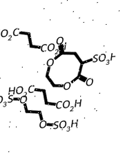 O=C(O)CCC(=O)O.O=C(O)CCC(=O)O.O=C1CC(S(=O)(=O)O)C(=O)OCCO1.O=S(=O)(O)OCCOS(=O)(=O)O